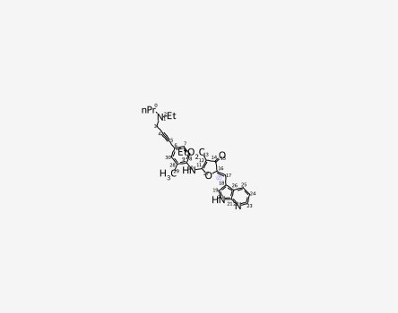 CCCN(CC)CC#Cc1ccc(NC2=C(C(=O)OCC)C(=O)/C(=C/c3c[nH]c4ncccc34)O2)c(C)c1